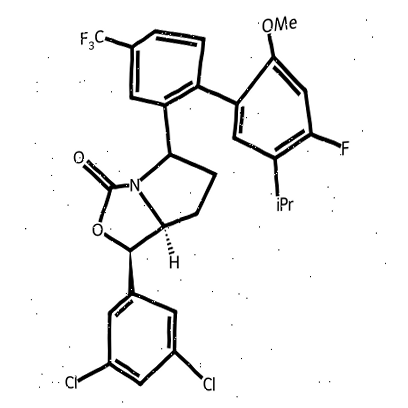 COc1cc(F)c(C(C)C)cc1-c1ccc(C(F)(F)F)cc1C1CC[C@H]2[C@@H](c3cc(Cl)cc(Cl)c3)OC(=O)N12